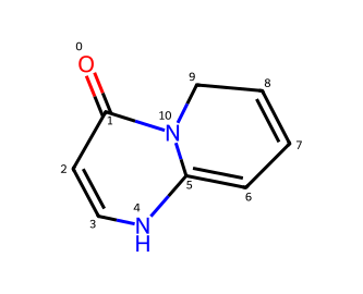 O=C1C=CNC2=CC=CCN12